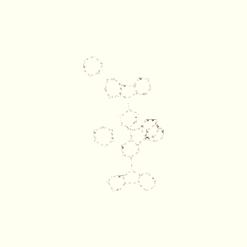 c1ccc(-c2ccc3c(c2)c2ccccc2n3-c2nc(-c3ccccc3)nc(-c3ccccc3-c3cc(-n4c5ccccc5c5ccccc54)cc4c3oc3ccccc34)n2)cc1